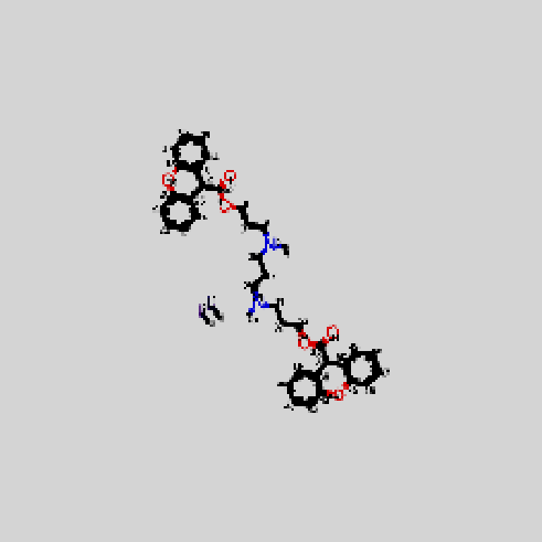 CI.CI.CN(CCCOC(=O)C1c2ccccc2Oc2ccccc21)CCCN(C)CCCOC(=O)C1c2ccccc2Oc2ccccc21